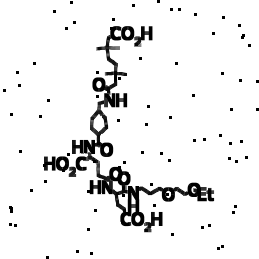 CCOCCOCCCNC(=O)C(CCC(=O)O)NC(=O)CCC(NC(=O)C1CCC(CNC(=O)CC(C)(C)CCC(C)(C)CC(=O)O)CC1)C(=O)O